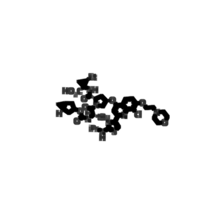 CC[C@@H]1CC1(NC(=O)[C@@H]1C[C@@H](Oc2cc(-c3csc(NC(C)C)n3)nc3c(Cl)c(OCCN4CCOCC4)ccc23)CN1C(=O)[C@@H](NC(=O)OC1CC2C[C@@H]2C1)C(C)(C)C)C(=O)O